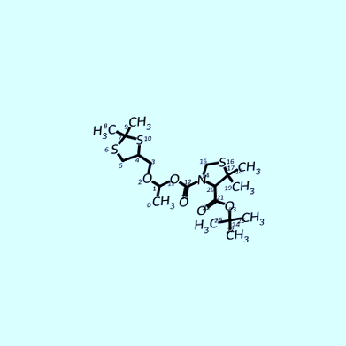 CC(OCC1CSC(C)(C)S1)OC(=O)N1CSC(C)(C)C1C(=O)OC(C)(C)C